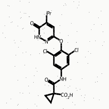 CC(C)c1cc(Oc2c(Cl)cc(NC(=O)C3(C(=O)O)CC3)cc2Cl)n[nH]c1=O